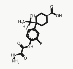 CC(C)(C)[C@]1(c2ccc(NC(=O)C(=O)NN)c(F)c2)CC[C@H](C(=O)O)CC1